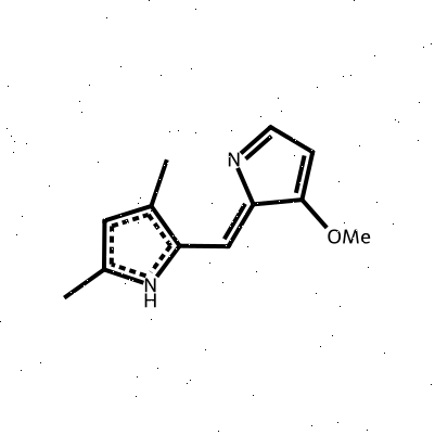 COC1=CC=NC1=Cc1[nH]c(C)cc1C